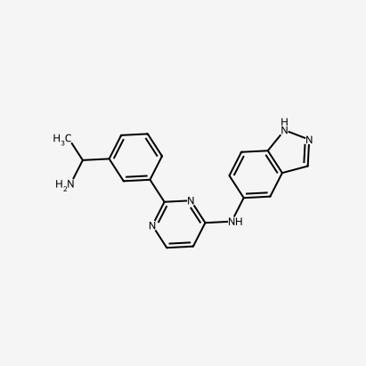 CC(N)c1cccc(-c2nccc(Nc3ccc4[nH]ncc4c3)n2)c1